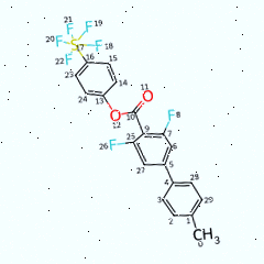 Cc1ccc(-c2cc(F)c(C(=O)Oc3ccc(S(F)(F)(F)(F)F)cc3)c(F)c2)cc1